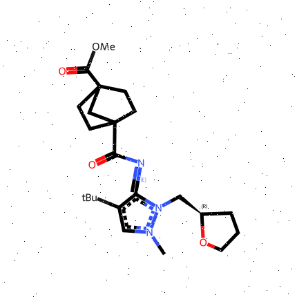 COC(=O)C12CCC(C(=O)/N=c3\c(C(C)(C)C)cn(C)n3C[C@H]3CCCO3)(CC1)C2